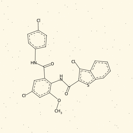 COc1cc(Cl)cc(C(=O)Nc2ccc(Cl)cc2)c1NC(=O)c1sc2ccccc2c1Cl